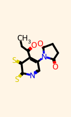 CCC(=O)C1=C(N2C(=O)CCC2=O)C=NC(=S)C1=S